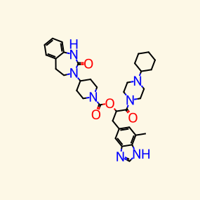 Cc1cc(CC(OC(=O)N2CCC(N3CCc4ccccc4NC3=O)CC2)C(=O)N2CCN(C3CCCCC3)CC2)cc2nc[nH]c12